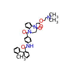 Cc1ccccc1-c1ccccc1C(=O)Nc1ccc(C(=O)N2CCC(=O)N(CC(=O)OCCN(C)C)c3ccccc32)cc1